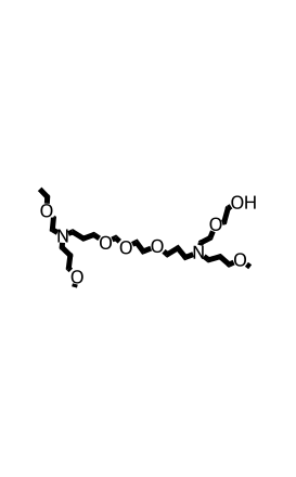 CCOCCN(CCCOC)CCCOCOCCOCCCN(CCCOC)CCOCCO